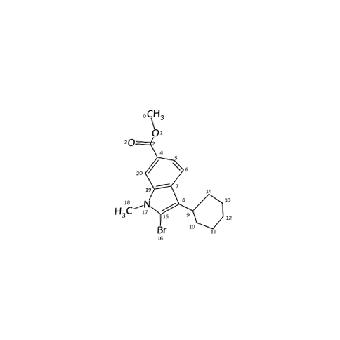 COC(=O)c1ccc2c(C3CCCCC3)c(Br)n(C)c2c1